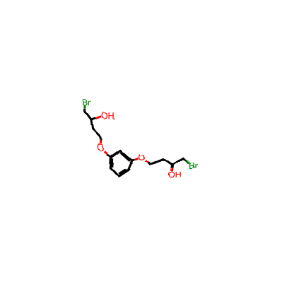 OC(CBr)CCOc1cccc(OCCC(O)CBr)c1